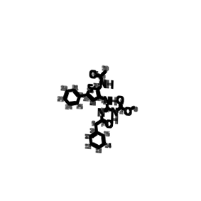 COC(=O)NC(=NC(=O)Cc1ccccc1)Nc1cc(-c2ccccc2)sc1NC(C)=O